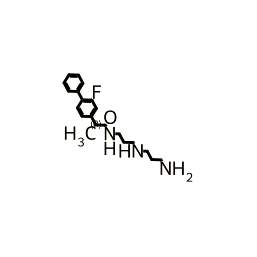 C[C@@H](C(=O)NCCCNCCCN)c1ccc(-c2ccccc2)c(F)c1